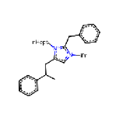 CCCCCCC[n+]1c(CC(C)c2ccccc2)cn(C(C)C)c1Cc1ccccc1